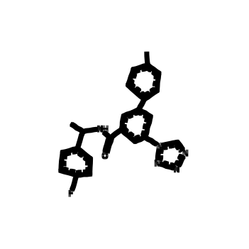 Cc1ccc(-c2cc(C(=O)NC(C)c3ccc(F)cc3)cc(-n3cnnn3)c2)cc1